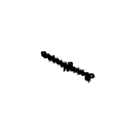 O=CCCCCCCCCCCC(=O)NCCCCCCCC(=O)OI